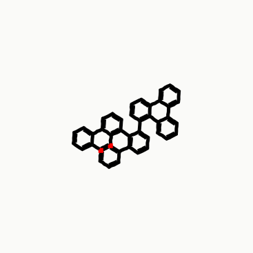 c1ccc(-c2cccc(-c3cccc4c5ccccc5c5ccccc5c34)c2-c2cccc3c2ccc2ccccc23)cc1